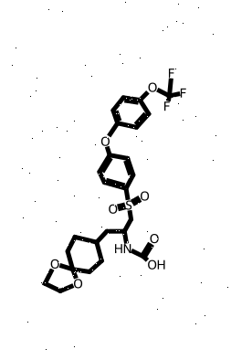 O=C(O)NC(CC1CCC2(CC1)OCCO2)CS(=O)(=O)c1ccc(Oc2ccc(OC(F)(F)F)cc2)cc1